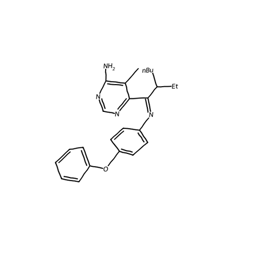 CCCCC(CC)/C(=N/c1ccc(Oc2ccccc2)cc1)c1ncnc(N)c1C